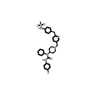 CS(=O)(=O)Nc1ccc(Cc2ccc(CN3CCC(N(C(=O)Nc4ccc(F)cc4)c4ccccc4)CC3)cn2)cc1